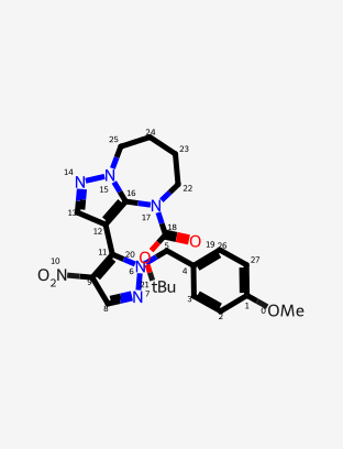 COc1ccc(Cn2ncc([N+](=O)[O-])c2-c2cnn3c2N(C(=O)OC(C)(C)C)CCCC3)cc1